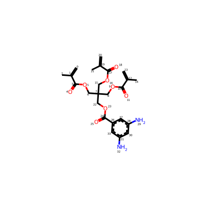 C=C(C)C(=O)OCC(COC(=O)C(=C)C)(COC(=O)C(=C)C)COC(=O)c1cc(N)cc(N)c1